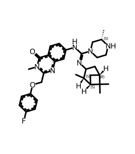 C[C@@H]1C(N=C(Nc2ccc3c(=O)n(C)c(COc4ccc(F)cc4)nc3c2)N2CCN[C@@H](C)C2)C[C@H]2C[C@@H]1C2(C)C